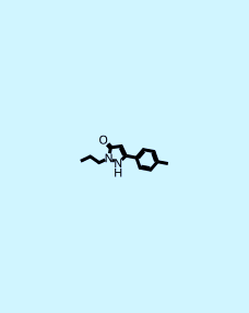 CCCn1[nH]c(-c2ccc(C)cc2)cc1=O